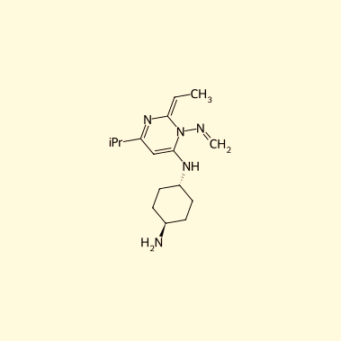 C=NN1C(N[C@H]2CC[C@H](N)CC2)=CC(C(C)C)=N/C1=C/C